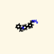 CC(=O)C(C1CCCCC1)N1CCC(c2cccc(CN)c2)CC1